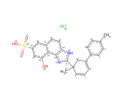 Cc1ccc(C2=CC=CC(C)(c3nc4c(ccc5cc(S(=O)(=O)O)cc(O)c54)[nH]3)C2)cc1.Cl